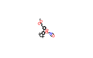 CCOC(=O)C=Cc1ccc(OC)c(-c2cc3c(cc2OCCN2CCOCC2)C(C)(C)CCC3(C)C)c1